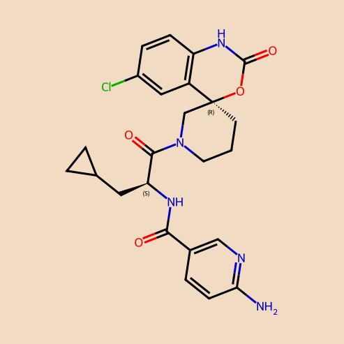 Nc1ccc(C(=O)N[C@@H](CC2CC2)C(=O)N2CCC[C@@]3(C2)OC(=O)Nc2ccc(Cl)cc23)cn1